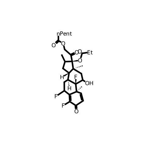 CCCCCC(=O)OCC(=O)[C@@]1(OC(=O)CC)C(C)C[C@H]2[C@@H]3CC(F)C4=C(F)C(=O)C=C[C@]4(C)[C@@]3(F)C(O)C[C@@]21C